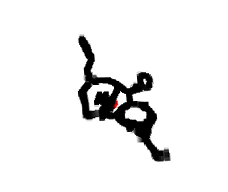 C=CCN1CC[C@]23CCCC[C@H]2C1C(=O)c1ccc(O)cc13